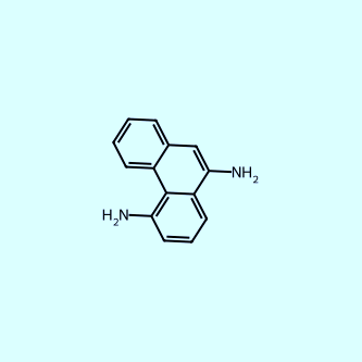 Nc1cc2ccccc2c2c(N)cccc12